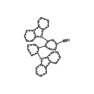 N#Cc1ccc(-c2ccccc2-n2c3ccccc3c3ccccc32)c(-n2c3ccccc3c3ccccc32)c1